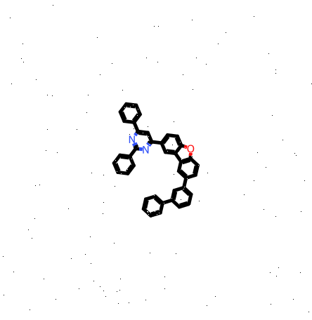 c1ccc(-c2cccc(-c3ccc4oc5ccc(-c6cc(-c7ccccc7)nc(-c7ccccc7)n6)cc5c4c3)c2)cc1